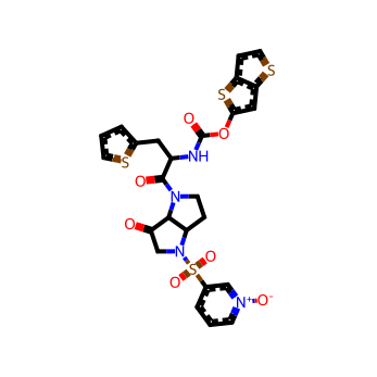 O=C(NC(Cc1cccs1)C(=O)N1CCC2C1C(=O)CN2S(=O)(=O)c1ccc[n+]([O-])c1)Oc1cc2sccc2s1